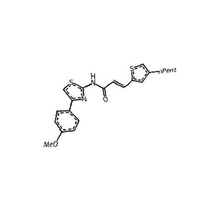 CCCCCc1csc(C=CC(=O)Nc2nc(-c3ccc(OC)cc3)cs2)c1